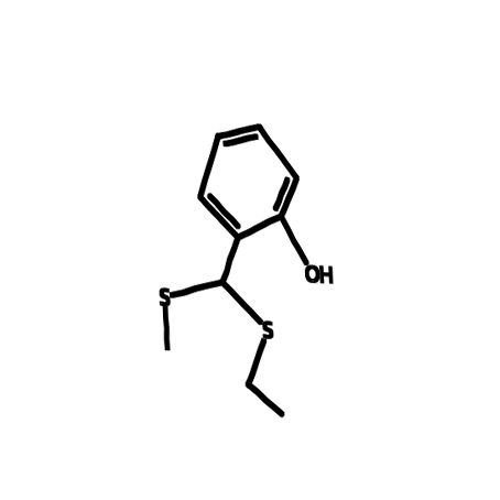 CCSC(SC)c1ccccc1O